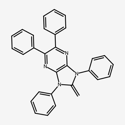 C=C1N(c2ccccc2)c2nc(-c3ccccc3)c(-c3ccccc3)nc2N1c1ccccc1